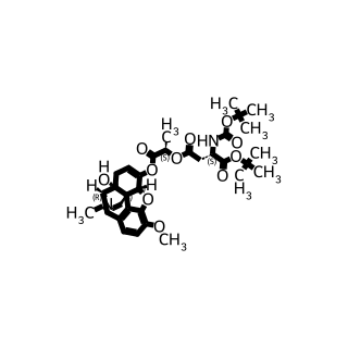 COc1ccc2c3c1O[C@H]1C(OC(=O)[C@H](C)OC(=O)C[C@H](NC(=O)OC(C)(C)C)C(=O)OC(C)(C)C)=CC[C@@]4(O)[C@@H](C2)N(C)CC[C@]314